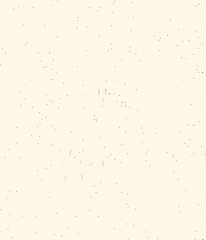 O=Cc1cc(-c2ccc(C(F)(F)C(F)(F)F)c(F)c2)cc(NC(=O)C2CC2)n1